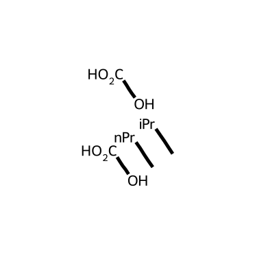 CC(C)C.CCCC.O=C(O)O.O=C(O)O